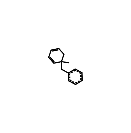 CC1(Cc2ccccc2)C=CC=CC1